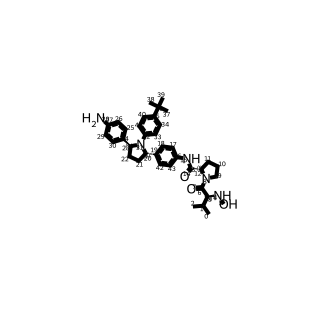 CC(C)[C@H](NO)C(=O)N1CCC[C@H]1C(=O)Nc1ccc([C@@H]2CC[C@@H](c3ccc(N)cc3)N2c2ccc(C(C)(C)C)cc2)cc1